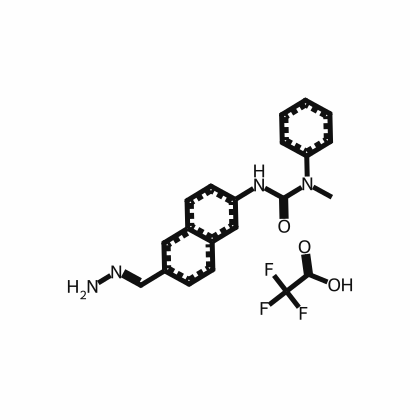 CN(C(=O)Nc1ccc2cc(C=NN)ccc2c1)c1ccccc1.O=C(O)C(F)(F)F